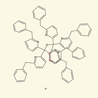 [Ir].c1ccc(Cc2cccc(C(OC(c3cccc(Cc4ccccc4)n3)(c3cccc(Cc4ccccc4)n3)c3cccc(Cc4ccccc4)n3)(c3cccc(Cc4ccccc4)n3)c3cccc(Cc4ccccc4)n3)n2)cc1